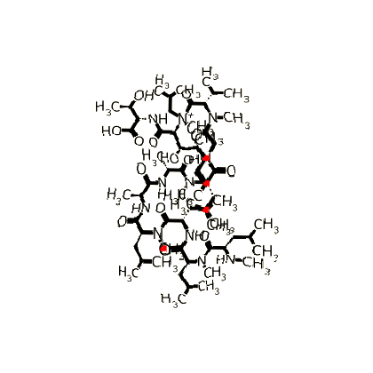 C/C=C/C[C@@H](C)[C@@H](O)[C@@H](C(=O)N[C@H](C(=O)O)[C@@H](C)O)[N+](C)(CC(C)C)C(=O)[C@H](C(C)C)N(C)C(=O)CNC(=O)[C@H](CC(C)C)N(C)C(=O)[C@@H](C)NC(=O)[C@H](C)NC(=O)[C@H](CC(C)C)N(C)C(=O)[C@H](CC(C)C)NC(=O)[C@H](CC(C)C)N(C)C(=O)[C@@H](CC(C)C)NC